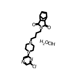 Cl.O.O=C1C2C3C=CC(C3)C2C(=O)N1CCCCN1CCN(c2cncc(Cl)n2)CC1